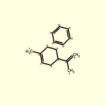 C=C(C)C1CC=C(C)CC1.c1ccccc1